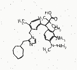 Cc1ccc(C(c2ccc(N(C)N)c(N)c2C)C(C)(C)C(=O)O)cc1Cn1ccnc1CC1CCCCCC1